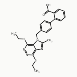 CCSc1nnc(SCC)c2c1nc(C)n2Cc1ccc(-c2ccccc2C(=O)O)cc1